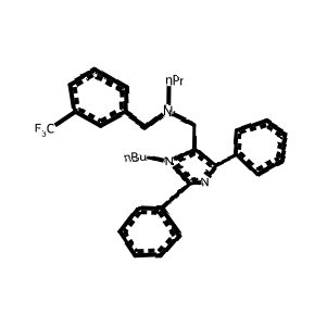 CCCCn1c(-c2ccccc2)nc(-c2ccccc2)c1CN(CCC)Cc1cccc(C(F)(F)F)c1